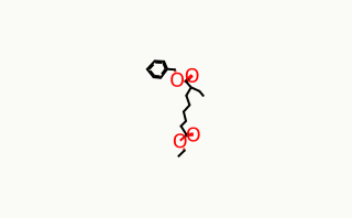 CCOC(=O)CCCCCC(CC)C(=O)OCc1ccccc1